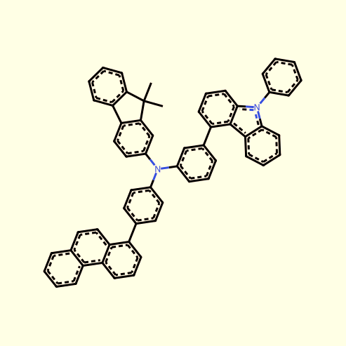 CC1(C)c2ccccc2-c2ccc(N(c3ccc(-c4cccc5c4ccc4ccccc45)cc3)c3cccc(-c4cccc5c4c4ccccc4n5-c4ccccc4)c3)cc21